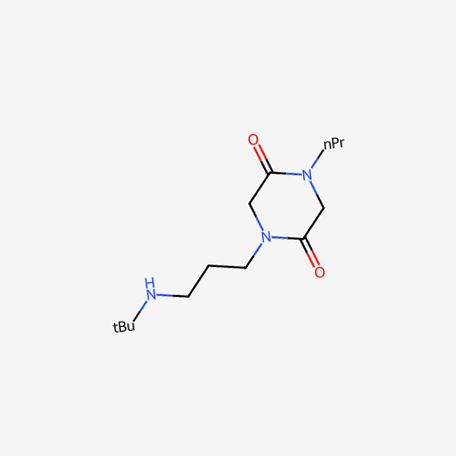 CCCN1CC(=O)N(CCCNC(C)(C)C)CC1=O